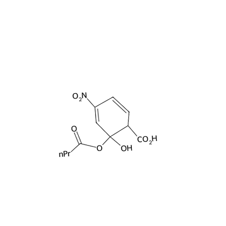 CCCC(=O)OC1(O)C=C([N+](=O)[O-])C=CC1C(=O)O